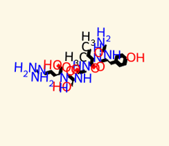 CC[C@H](C)[C@H](NC(=O)[C@H](Cc1ccc(O)cc1)NC(=O)CN)C(=O)NCC(=O)N[C@@H](CO)C(=O)N[C@@H](CCCN=C(N)N)C(=O)O